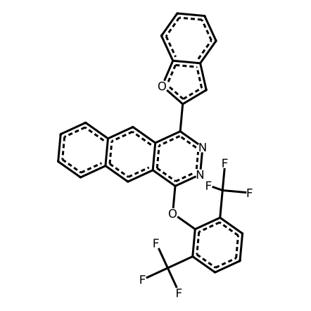 FC(F)(F)c1cccc(C(F)(F)F)c1Oc1nnc(-c2cc3ccccc3o2)c2cc3ccccc3cc12